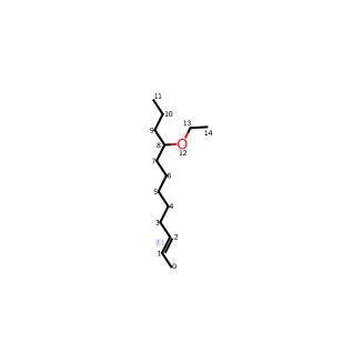 C/C=C/CCCCCC(CCC)OCC